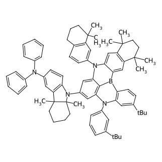 CC(C)(C)c1cccc(N2c3cc(C(C)(C)C)ccc3B3c4cc5c(cc4N(c4ccc6c(c4)C(C)(C)CCC6)c4cc(N6c7ccc(N(c8ccccc8)c8ccccc8)cc7C7(C)CCCCC67C)cc2c43)C(C)(C)CCC5(C)C)c1